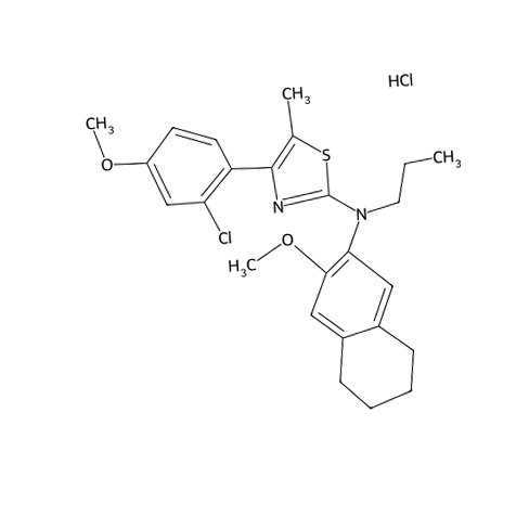 CCCN(c1nc(-c2ccc(OC)cc2Cl)c(C)s1)c1cc2c(cc1OC)CCCC2.Cl